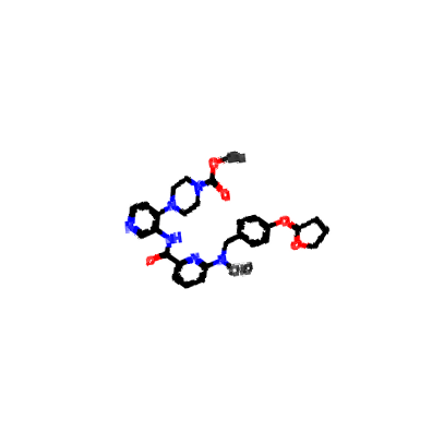 CC(C)(C)OC(=O)N1CCN(c2ccncc2NC(=O)c2cccc(N(C=O)Cc3ccc(OC4CCCO4)cc3)n2)CC1